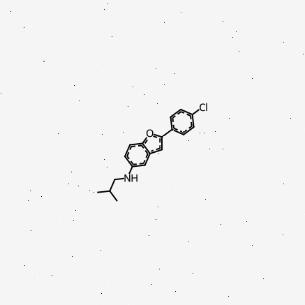 CC(C)CNc1ccc2oc(-c3ccc(Cl)cc3)cc2c1